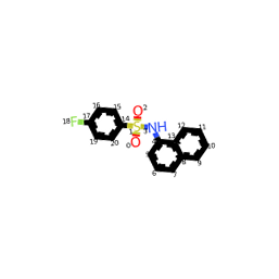 O=S(=O)(Nc1cccc2ccccc12)c1ccc(F)cc1